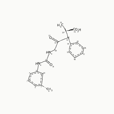 Cc1cccc(NC(=O)NCC(=O)N(c2ccccc2)[C@@H](C)C(=O)O)c1